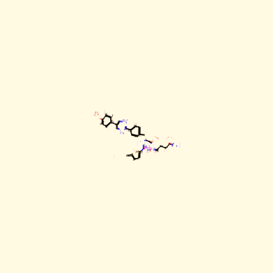 CCCCCCCOc1ccc(-c2cnc(-c3ccc(C[C@H](NC(=O)c4ccc(C(C)(C)C)s4)C(=O)N[C@@H](CCC(N)=O)C(=O)O)cc3)nc2)cc1